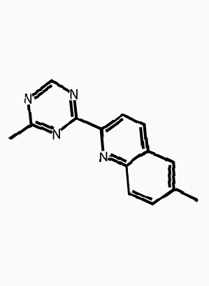 Cc1ccc2nc(-c3ncnc(C)n3)ccc2c1